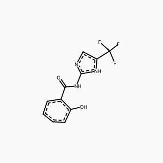 O=C(Nc1ncc(C(F)(F)F)[nH]1)c1ccccc1O